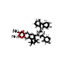 CC1(C)CC(C)(C)c2c3c(cc(-c4nc(-c5ccccc5)nc(-n5c6ccccc6c6ccccc65)n4)c21)C1c2cc(C#N)ccc2C3c2cc(C#N)ccc21